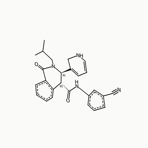 CC(C)CN1C(=O)c2ccccc2[C@@H](C(=O)Nc2cccc(C#N)c2)[C@@H]1C1=CC=CNC1